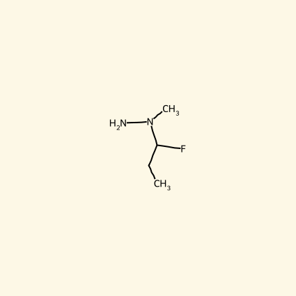 CCC(F)N(C)N